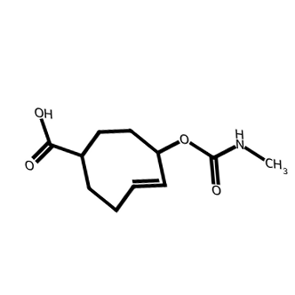 CNC(=O)OC1/C=C/CCC(C(=O)O)CC1